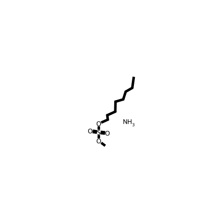 CCCCCCCCOS(=O)(=O)OC.N